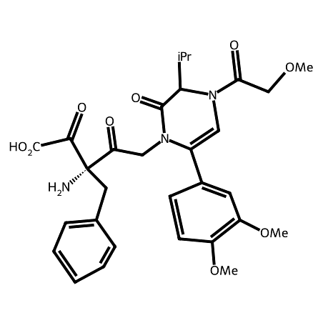 COCC(=O)N1C=C(c2ccc(OC)c(OC)c2)N(CC(=O)[C@@](N)(Cc2ccccc2)C(=O)C(=O)O)C(=O)C1C(C)C